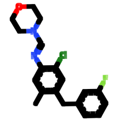 Cc1cc(/N=C/N2CCOCC2)c(Cl)cc1Cc1cccc(F)c1